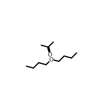 CC(C)=O.CCCCOCCCC